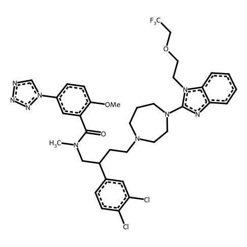 COc1ccc(-n2cnnn2)cc1C(=O)N(C)CC(CCN1CCCN(c2nc3ccccc3n2CCOCC(F)(F)F)CC1)c1ccc(Cl)c(Cl)c1